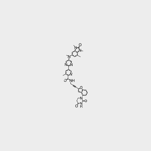 Cc1cc(-c2ncc(N(C)c3cc(C)c4c(c3)n(C)c(=O)n4C)cn2)cnc1C(=O)NCC#Cc1cc2c(N3CCC(=O)NC3=O)cccc2o1